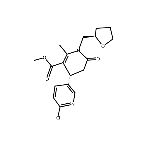 COC(=O)C1=C(C)N(C[C@H]2CCCO2)C(=O)C[C@@H]1c1ccc(Cl)nc1